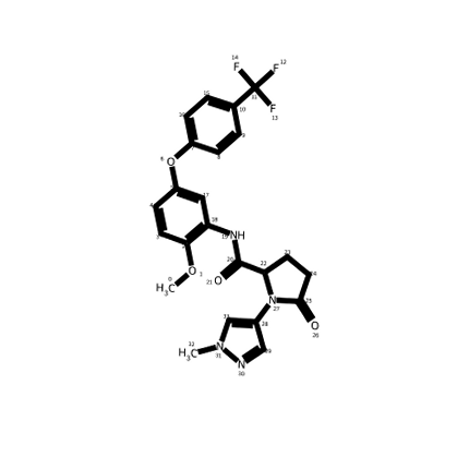 COc1ccc(Oc2ccc(C(F)(F)F)cc2)cc1NC(=O)C1CCC(=O)N1c1cnn(C)c1